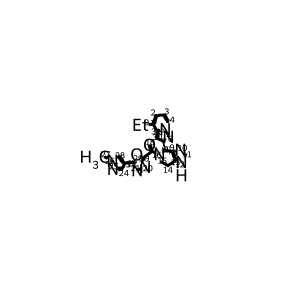 CCc1cccn2nc([C@H]3c4nc[nH]c4CCN3C(=O)c3nnc(-c4cnn(C)c4)o3)cc12